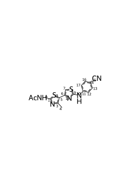 CC(=O)Nc1nc(C)c(-c2csc(Nc3ccc(C#N)cc3)n2)s1